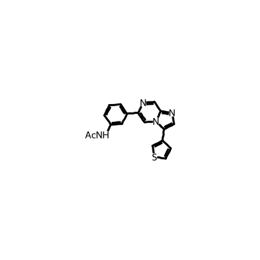 CC(=O)Nc1cccc(-c2cn3c(-c4ccsc4)cnc3cn2)c1